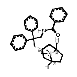 C[N+]1(C)[C@@H]2CC[C@H]1C[C@@H](CC(CNC(=O)c1ccccc1)(c1ccccc1)c1ccccc1)C2